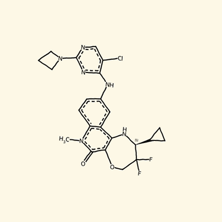 Cn1c(=O)c2c(c3cc(Nc4nc(N5CCC5)ncc4Cl)ccc31)N[C@@H](C1CC1)C(F)(F)CO2